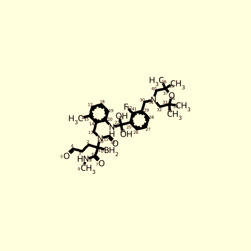 BC(CCC=O)(C(=O)NC)N(C=O)Cc1c(C)cccc1NC(O)(O)c1cccc(CN2CC(C)(C)OC(C)(C)C2)c1F